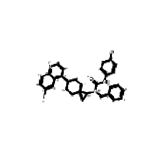 O=C(Nc1ccc(Cl)cc1)N(Cc1ccccc1)C1CC12CCC(c1ccnc3ccc(F)cc13)CC2